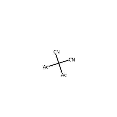 CC(=O)C(C#N)(C#N)C(C)=O